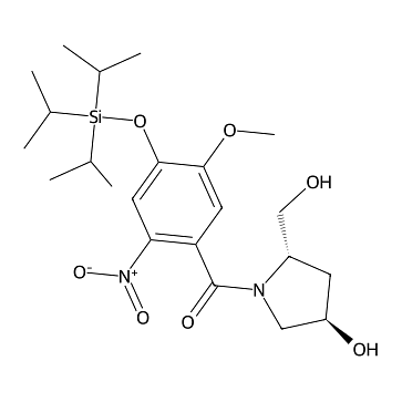 COc1cc(C(=O)N2C[C@H](O)C[C@H]2CO)c([N+](=O)[O-])cc1O[Si](C(C)C)(C(C)C)C(C)C